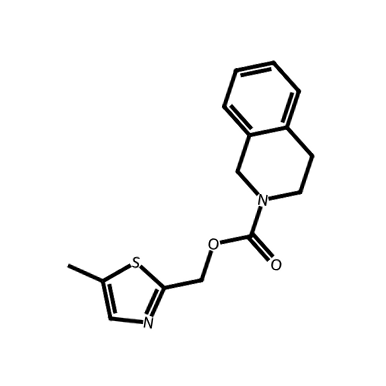 Cc1cnc(COC(=O)N2CCc3ccccc3C2)s1